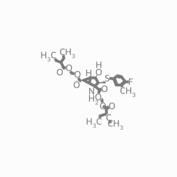 CCC(CC)C(=O)OCOC(=O)[C@@H]1C2[C@H]1[C@H](O)[C@@H](CSc1ccc(F)c(C)c1)[C@@]2(N)C(=O)OCOC(=O)C(CC)CC